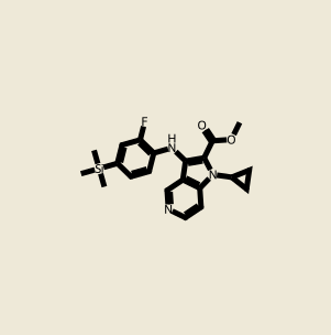 COC(=O)c1c(Nc2ccc([Si](C)(C)C)cc2F)c2cnccc2n1C1CC1